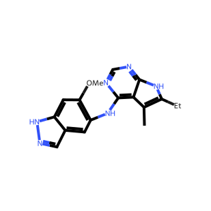 CCc1[nH]c2ncnc(Nc3cc4cn[nH]c4cc3OC)c2c1C